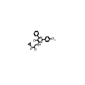 CN(C(=O)CNc1nc(-c2ccc(C(F)(F)F)cc2)nc(-c2ccccc2)c1Cl)C1CC1